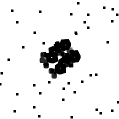 CN1c2cccc(Cl)c2C(C)(C)C12C=Cc1cc([N+](=O)[O-])ccc1O2.CN1c2ccccc2C(C)(C)C12C=Cc1c(ccc([N+](=O)[O-])c1Cl)O2